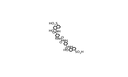 Cc1cc(C(=O)Nc2c(O)ccc3c(S(=O)(=O)O)cccc23)ccc1NC(=O)C(=O)Nc1ccc(C(=O)Nc2c(O)ccc3c(S(=O)(=O)O)cccc23)cc1C